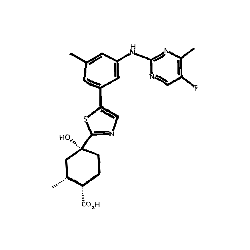 Cc1cc(Nc2ncc(F)c(C)n2)cc(-c2cnc([C@@]3(O)CC[C@H](C(=O)O)[C@H](C)C3)s2)c1